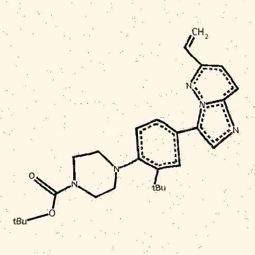 C=Cc1ccc2ncc(-c3ccc(N4CCN(C(=O)OC(C)(C)C)CC4)c(C(C)(C)C)c3)n2n1